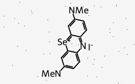 CNc1ccc2nc3ccc(NC)cc3[se+]c2c1.[I-]